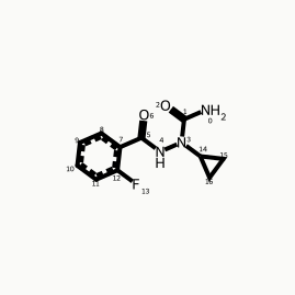 NC(=O)N(NC(=O)c1ccccc1F)C1CC1